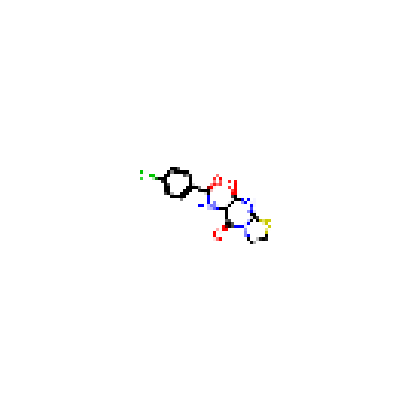 O=C(NC1C(=O)N=C2SCCN2C1=O)c1ccc(Cl)cc1